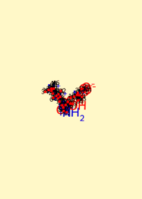 CCCC[N+](CCCC)(CCCC)CCCC.CCCC[N+](CCCC)(CCCC)CCCC.CCCC[N+](CCCC)(CCCC)CCCC.NC1=NC(=O)C2=NC(=O)N([C@H]3C[C@H](O)[C@@H](CO)O3)C2=N1.O=P([O-])([O-])[O-]